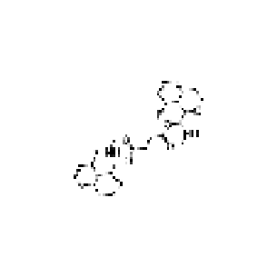 CN[C@H](OC(=O)CCC(=O)O[C@@H](NC)C1OCCc2cccc(F)c21)C1OCCc2cccc(F)c21